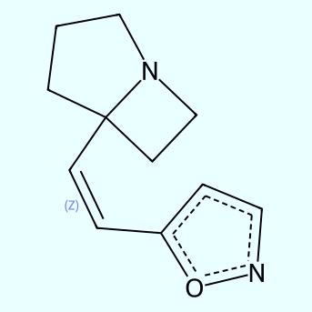 C(=C/C12CCCN1CC2)/c1ccno1